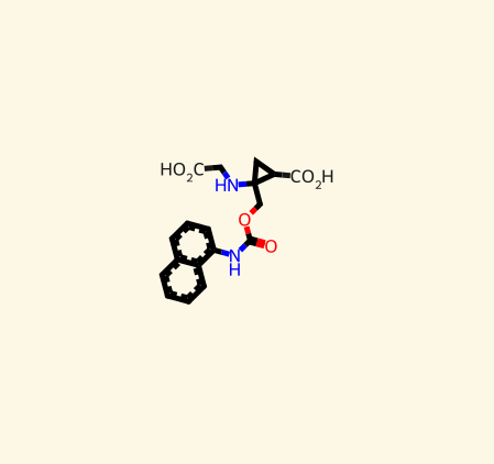 O=C(O)CNC1(COC(=O)Nc2cccc3ccccc23)CC1C(=O)O